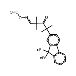 CCCC1(CCC)c2ccccc2-c2ccc(C(C)(C)C(=O)C(C)(C)/C=N/OC=O)cc21